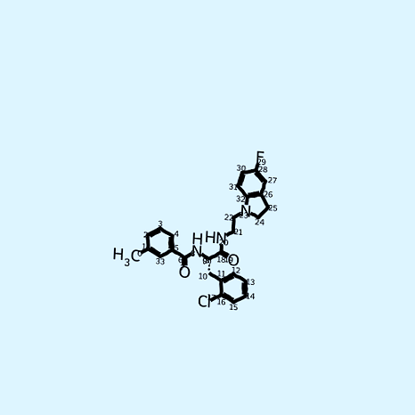 Cc1cccc(C(=O)N[C@@H](Cc2ccccc2Cl)C(=O)NCCN2CCc3cc(F)ccc32)c1